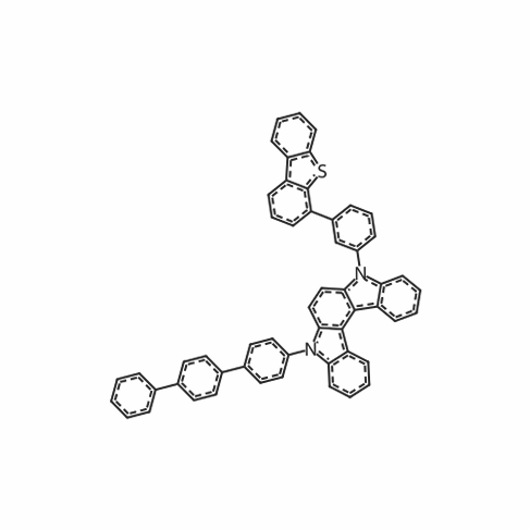 c1ccc(-c2ccc(-c3ccc(-n4c5ccccc5c5c6c7ccccc7n(-c7cccc(-c8cccc9c8sc8ccccc89)c7)c6ccc54)cc3)cc2)cc1